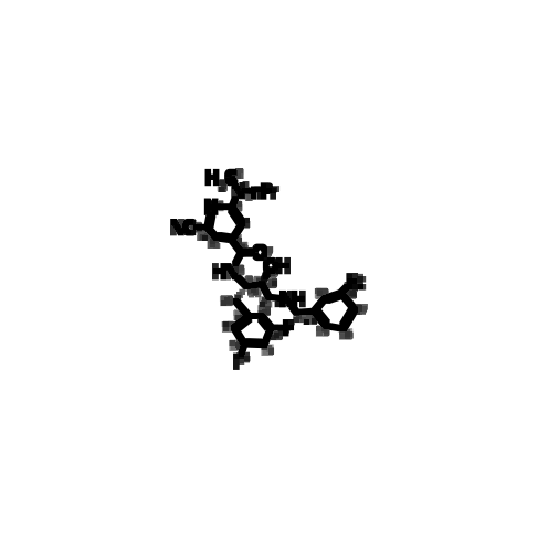 CCCN(C)c1cc(C(=O)N[C@@H](Cc2cc(F)cc(F)c2)[C@@H](O)CNCc2cccc(CC)c2)cc(C#N)n1